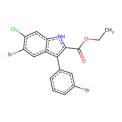 CCOC(=O)c1[nH]c2cc(Cl)c(Br)cc2c1-c1cccc(Br)c1